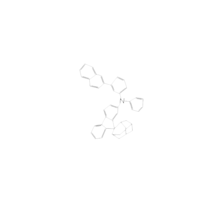 c1ccc(N(c2cccc(-c3ccc4ccccc4c3)c2)c2ccc3c(c2)C2(c4ccccc4-3)C3CC4CC(C3)CC2C4)cc1